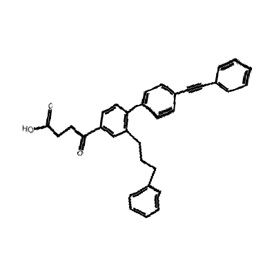 O=C(O)CCC(=O)c1ccc(-c2ccc(C#Cc3ccccc3)cc2)c(CCCc2ccccc2)c1